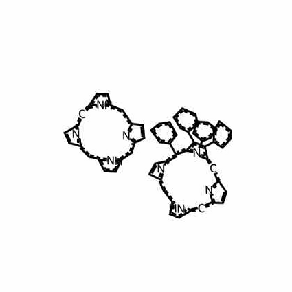 C1=Cc2cc3c(-c4ccccc4)c(-c4ccccc4)c(c(-c4ccccc4)c4nc(cc5ccc(cc1n2)[nH]5)C=C4)n3-c1ccccc1.C1=Cc2cc3ccc(cc4nc(cc5ccc(cc1n2)[nH]5)C=C4)[nH]3